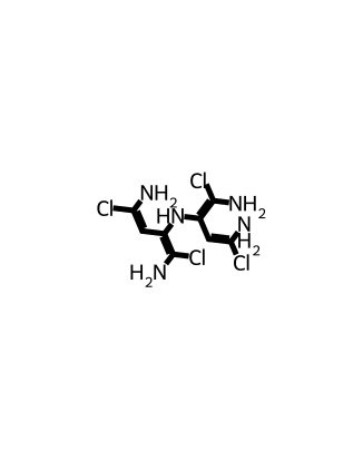 N/C(Cl)=C(\C=C(/N)Cl)NC(/C=C(\N)Cl)=C(/N)Cl